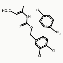 CC(=CC(=O)O)NC(=O)OCc1ccc(Cl)c(Cl)c1.Nc1ccc(Cl)cc1